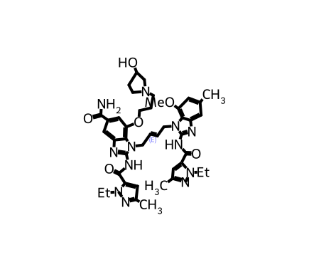 CCn1nc(C)cc1C(=O)Nc1nc2cc(C)cc(OC)c2n1C/C=C/Cn1c(NC(=O)c2cc(C)nn2CC)nc2cc(C(N)=O)cc(OCCCN3CCC(O)C3)c21